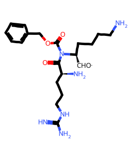 N=C(N)NCCC[C@H](N)C(=O)N(C(=O)OCc1ccccc1)[C@H]([C]=O)CCCCN